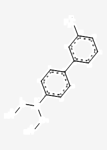 CCCO[SiH](OCCC)c1ccc(-c2cccc(C(F)(F)F)c2)cc1